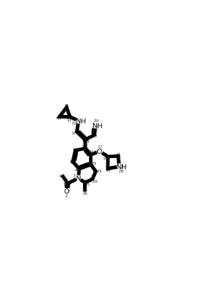 CC(=O)N1c2ccc(/C(C=N)=C/NC3CC3)c(OC3CNC3)c2CCC1C